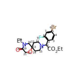 CCOC(=O)C(c1ccc(Br)cc1F)N1CCC2(CC1)CN(CC)C(=O)CO2